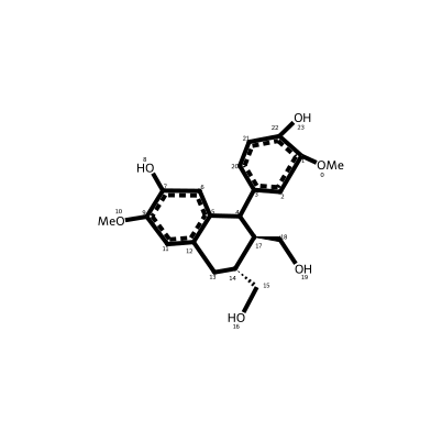 COc1cc(C2c3cc(O)c(OC)cc3C[C@@H](CO)[C@@H]2CO)ccc1O